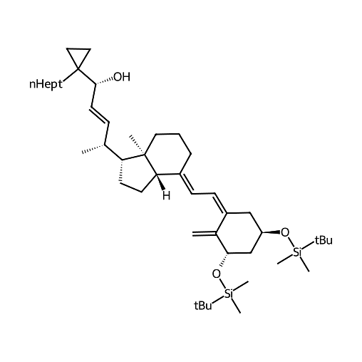 C=C1/C(=C\C=C2/CCC[C@]3(C)[C@@H]([C@H](C)/C=C/[C@@H](O)C4(CCCCCCC)CC4)CC[C@@H]23)C[C@@H](O[Si](C)(C)C(C)(C)C)C[C@@H]1O[Si](C)(C)C(C)(C)C